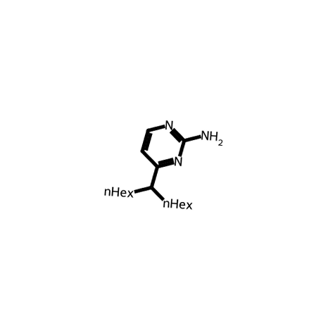 CCCCCCC(CCCCCC)c1ccnc(N)n1